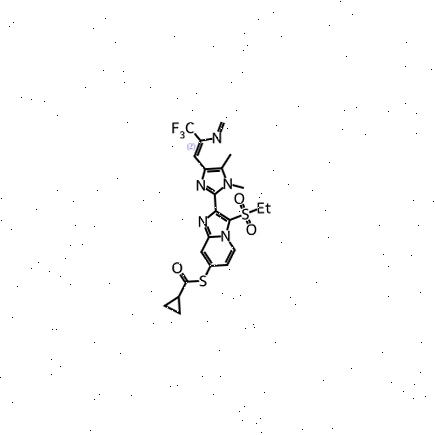 C=N/C(=C\c1nc(-c2nc3cc(SC(=O)C4CC4)ccn3c2S(=O)(=O)CC)n(C)c1C)C(F)(F)F